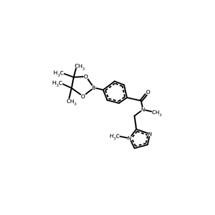 CN(Cc1nccn1C)C(=O)c1ccc(B2OC(C)(C)C(C)(C)O2)cc1